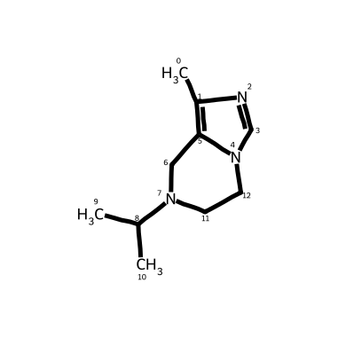 Cc1ncn2c1CN(C(C)C)CC2